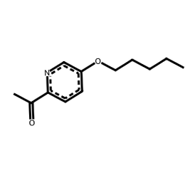 CCCCCOc1ccc(C(C)=O)nc1